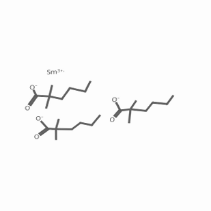 CCCCC(C)(C)C(=O)[O-].CCCCC(C)(C)C(=O)[O-].CCCCC(C)(C)C(=O)[O-].[Sm+3]